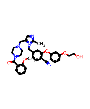 COc1ccccc1C(=O)N1CCN(Cc2cnc(C)n2Cc2ccc(C#N)c(Oc3cccc(OCCO)c3)c2)CC1